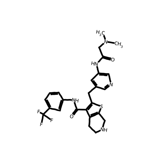 CN(C)CC(=O)Nc1cncc(Cc2sc3c(c2C(=O)Nc2cccc(C(F)(F)F)c2)CCNC3)c1